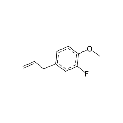 C=CCc1ccc(OC)c(F)c1